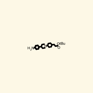 CC(C)(C)OC(=O)CCC1CCC(N2CCC(c3ccc(N)cc3)CC2)CC1